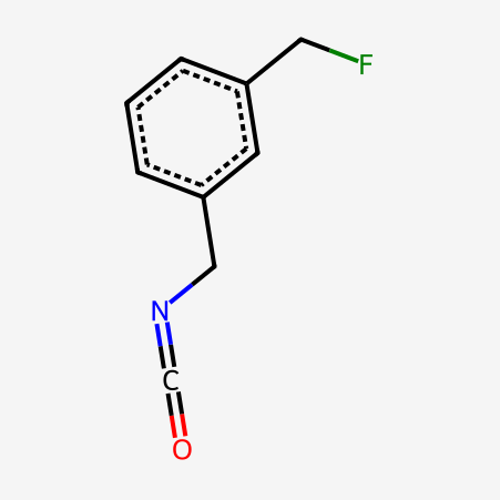 O=C=NCc1cccc(CF)c1